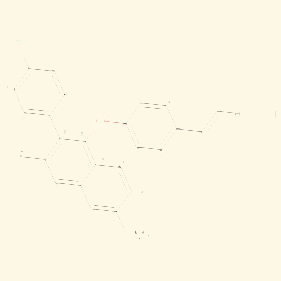 CCOC(=O)C=Cc1ccc(Oc2c(-c3ccc(F)cc3)c(C)cc3cc(OC)ccc23)cc1